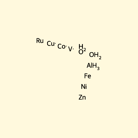 O.O.[AlH3].[Co].[Cu].[Fe].[Ni].[Ru].[V].[Zn]